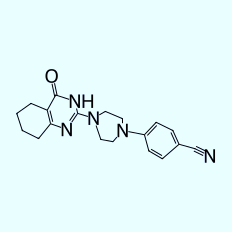 N#Cc1ccc(N2CCN(c3nc4c(c(=O)[nH]3)CCCC4)CC2)cc1